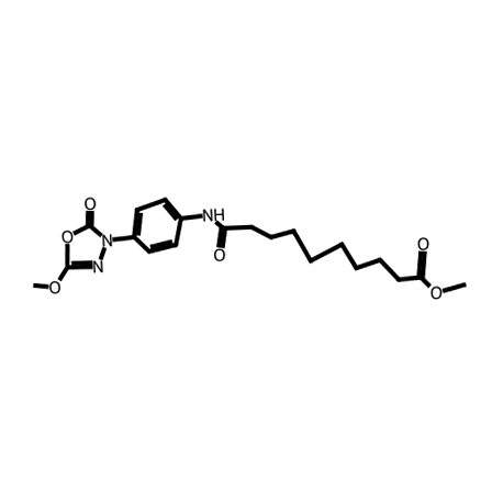 COC(=O)CCCCCCCCC(=O)Nc1ccc(-n2nc(OC)oc2=O)cc1